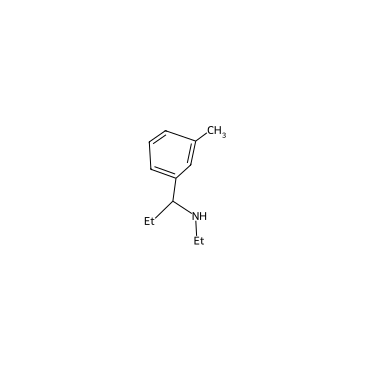 CCNC(CC)c1cccc(C)c1